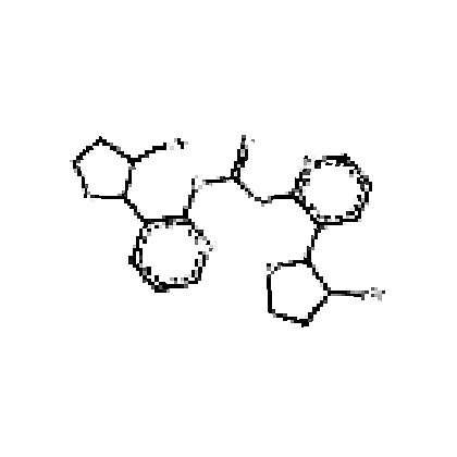 CCCC1CCSC1c1cccnc1OC(=O)Oc1ncccc1C1SCCC1CCC